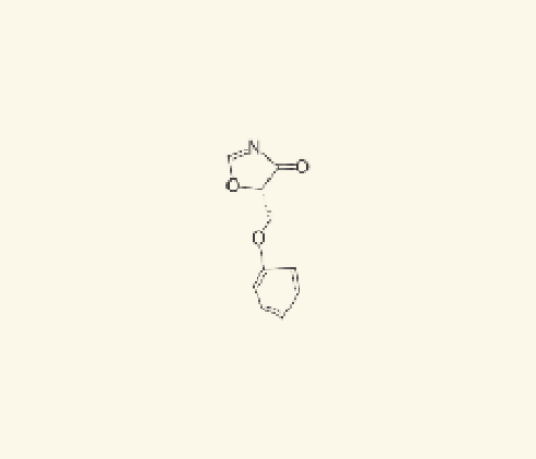 O=C1N=CO[C@H]1COc1ccccc1